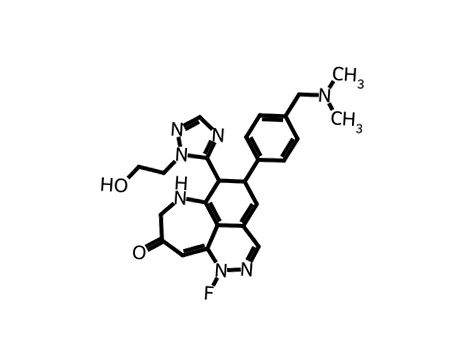 CN(C)Cc1ccc(C2C=C3C=NN(F)C4=CC(=O)CNC(=C34)C2c2ncnn2CCO)cc1